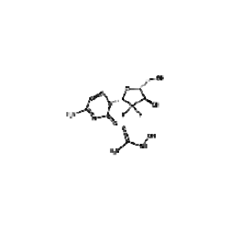 NC(=O)NO.Nc1ccn([C@@H]2O[C@H](CO)[C@@H](O)C2(F)F)c(=O)n1